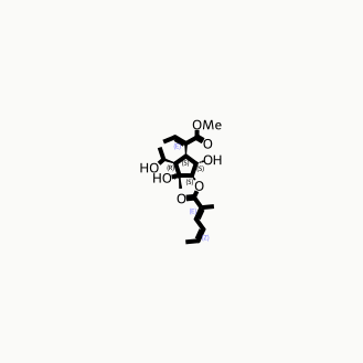 C/C=C\C=C(/C)C(=O)O[C@H]1[C@@H](O)[C@H](/C(=C\C)C(=O)OC)[C@H](C(C)O)[C@@]1(C)O